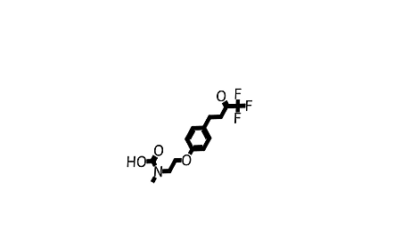 CN(CCOc1ccc(CCC(=O)C(F)(F)F)cc1)C(=O)O